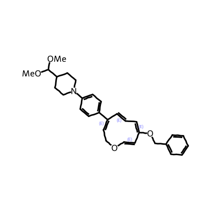 COC(OC)C1CCN(c2ccc(C3=C/CO/C=C/C(OCc4ccccc4)=C\C=C\3)cc2)CC1